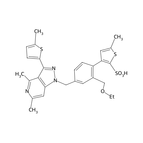 CCOCc1cc(Cn2nc(-c3ccc(C)s3)c3c(C)nc(C)cc32)ccc1-c1cc(C)sc1S(=O)(=O)O